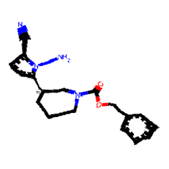 N#Cc1ccc([C@@H]2CCCN(C(=O)OCc3ccccc3)C2)n1N